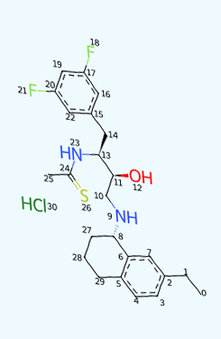 CCc1ccc2c(c1)[C@@H](NC[C@H](O)[C@H](Cc1cc(F)cc(F)c1)NC(C)=S)CCC2.Cl